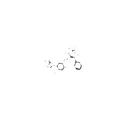 Cc1nc(C)c(NC(=O)c2cc(-c3ccn(C)n3)c(C(F)(F)F)cc2Cl)c(-c2ccccc2)n1